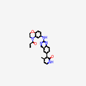 C=CC(=O)N1CCOc2ccc(Nc3ncc4cc(-c5c(C)cc[nH]c5=O)ccc4n3)cc21